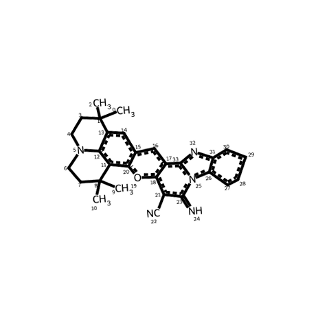 CC1(C)CCN2CCC(C)(C)c3c2c1cc1cc2c(oc31)c(C#N)c(=N)n1c3ccccc3nc21